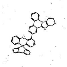 C1=Cc2c(nc3c4cc(-c5cccc6c5Oc5ccccc5C65c6ccccc6-c6ccccc65)ccc4c4ccccc4n23)CC1